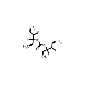 C=CC(F)C(F)(C=C)OC(=O)OC(F)(C=C)C(F)C=C